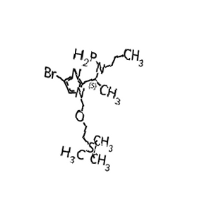 CCCN(P)[C@@H](C)c1nc(Br)cn1COCC[Si](C)(C)C